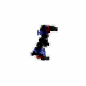 CC(C)(C)OC(=O)N[C@@H](CC1CC1)c1ncc(-c2ccc(-c3ccc(-c4ccc5nc([C@@H]6CCCN6C(=O)OC(C)(C)C)[nH]c5c4)c4c3C3CCC3C4)cc2)[nH]1